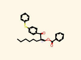 CCCCCC/C(=C/OC(=O)c1ccccc1)C(=O)c1ccc(Sc2ccccc2)cc1